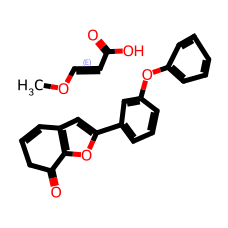 CO/C=C/C(=O)O.O=C1CC=Cc2cc(-c3cccc(Oc4ccccc4)c3)oc21